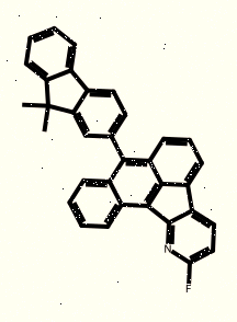 CC1(C)c2ccccc2-c2ccc(-c3c4ccccc4c4c5c(cccc35)-c3ccc(F)nc3-4)cc21